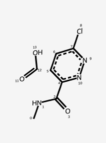 CNC(=O)c1ccc(Cl)nn1.O=CO